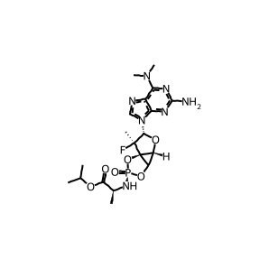 CC(C)OC(=O)[C@H](C)N[P@]1(=O)OC2[C@H]3O[C@@H](n4cnc5c(N(C)C)nc(N)nc54)[C@](C)(F)[C@@]23O1